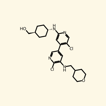 OC[C@H]1CC[C@H](Nc2cc(-c3cnc(Cl)c(NCC4CCOCC4)c3)c(Cl)cn2)CC1